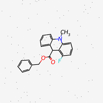 CN1c2ccccc2C(C(=O)OCc2ccccc2)c2c(F)cccc21